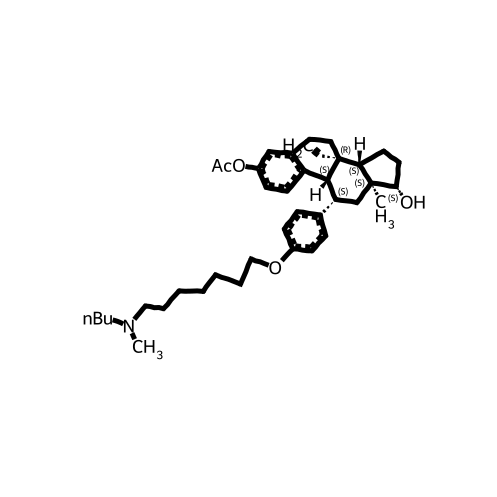 C=C[C@@]12CCc3cc(OC(C)=O)ccc3[C@H]1[C@@H](c1ccc(OCCCCCCCN(C)CCCC)cc1)C[C@@]1(C)[C@H]2CC[C@@H]1O